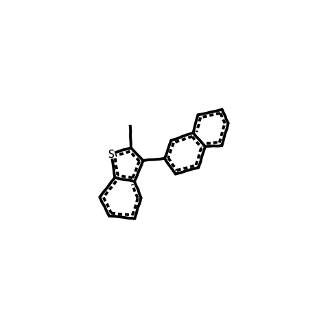 Cc1sc2ccccc2c1-c1ccc2ccccc2c1